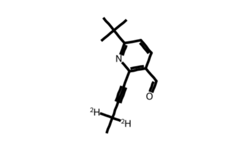 [2H]C([2H])(C)C#Cc1nc(C(C)(C)C)ccc1C=O